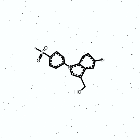 CS(=O)(=O)c1ccc(-n2cc(CO)c3cc(Br)ccc32)cc1